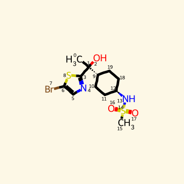 CC(O)(c1ncc(Br)s1)[C@H]1CC[C@H](NS(C)(=O)=O)CC1